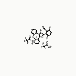 N#Cc1c(F)ccc(F)c1-c1nc2c([nH]1)-c1ccncc1Nc1ncccc1-2.O=C(O)C(F)(F)F.O=C(O)C(F)(F)F